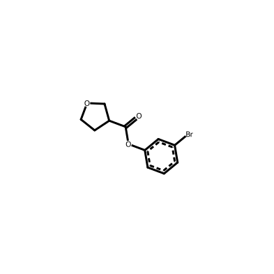 O=C(Oc1cccc(Br)c1)C1CCOC1